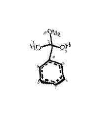 COC(O)(O)c1ccccc1